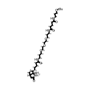 CC(C)(C)OCCCNC(=O)CCCC(=O)NCCCOCCOCCOCCCNC(=O)CCCC[C@@H]1SC[C@@H]2CC(=O)N[C@@]21N